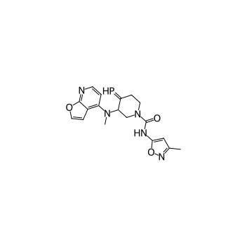 Cc1cc(NC(=O)N2CCC(=P)C(N(C)c3ccnc4occc34)C2)on1